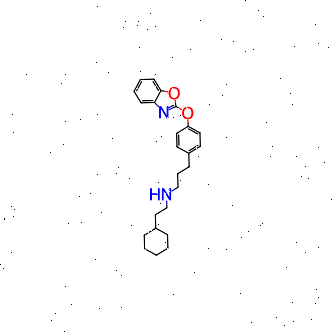 c1ccc2oc(Oc3ccc(CCCNCCC4CCCCC4)cc3)nc2c1